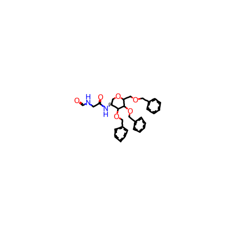 O=CNCC(=O)N[C@@H]1COC(COCc2ccccc2)C(OCc2ccccc2)C1OCc1ccccc1